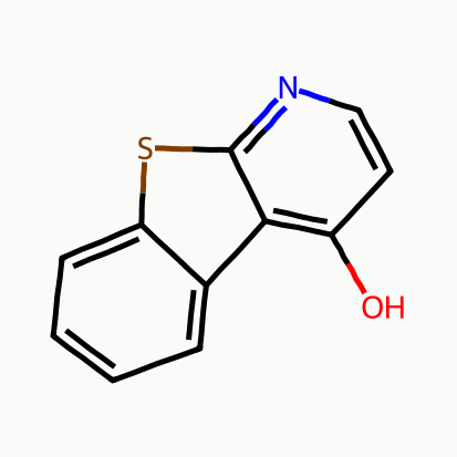 Oc1ccnc2sc3ccccc3c12